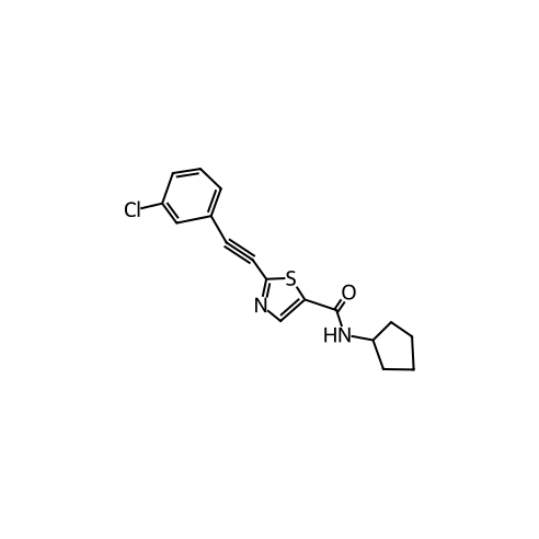 O=C(NC1CCCC1)c1cnc(C#Cc2cccc(Cl)c2)s1